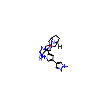 Cn1cc(-c2cc3c(N4CC5CC[C@@H](C4)N5C4CC(C#N)C4)ncnn3c2)cn1